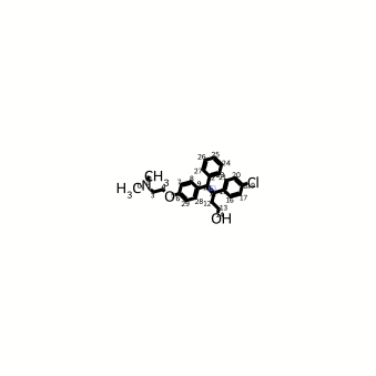 CN(C)CCOc1ccc(/C(=C(\CCO)c2ccc(Cl)cc2)c2ccccc2)cc1